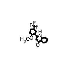 COc1ccc(C(F)(F)F)cc1-c1cc(=O)c2ccccc2[nH]1